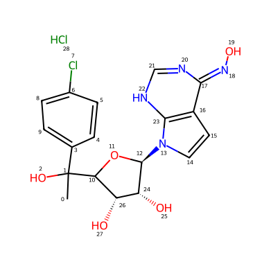 CC(O)(c1ccc(Cl)cc1)C1O[C@@H](n2ccc3c(=NO)nc[nH]c32)[C@H](O)[C@@H]1O.Cl